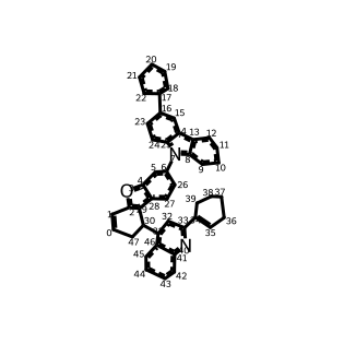 C1=Cc2oc3cc(-n4c5ccccc5c5cc(-c6ccccc6)ccc54)ccc3c2C(c2cc(C3=CCCCC3)nc3ccccc23)C1